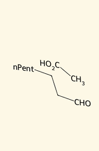 CC(=O)O.CCCCCCCC=O